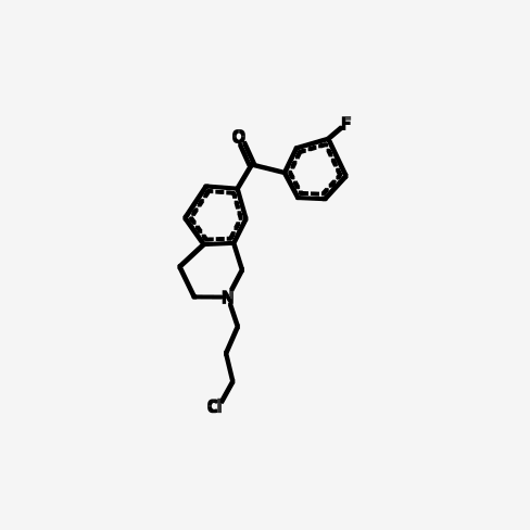 O=C(c1cccc(F)c1)c1ccc2c(c1)CN(CCCCl)CC2